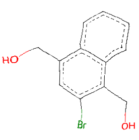 OCc1cc(Br)c(CO)c2ccccc12